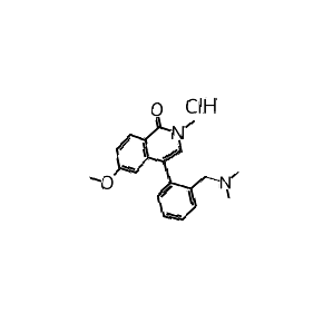 COc1ccc2c(=O)n(C)cc(-c3ccccc3CN(C)C)c2c1.Cl